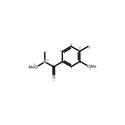 COc1cc(C(=O)N(C)OC)ccc1C